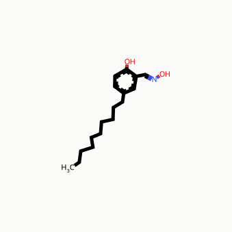 CCCCCCCCCCc1ccc(O)c(C=NO)c1